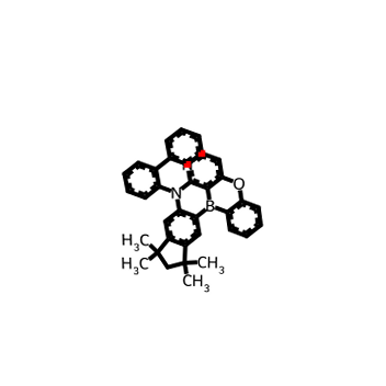 CC1(C)CC(C)(C)c2cc3c(cc21)B1c2ccccc2Oc2ccnc(c21)N3c1ccccc1-c1ccccc1